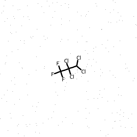 FC(F)(F)C(Cl)(Cl)C(Cl)Cl